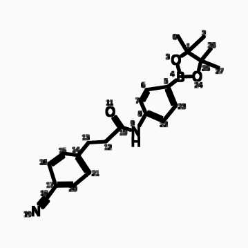 CC1(C)OB(c2ccc(NC(=O)CCc3ccc(C#N)cc3)cc2)OC1(C)C